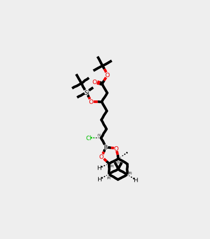 CC(C)(C)OC(=O)CC(CCC[C@@H](Cl)B1O[C@@H]2[C@@H]3C[C@H](C[C@]2(C)O1)C3(C)C)O[Si](C)(C)C(C)(C)C